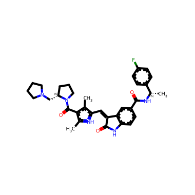 Cc1[nH]c(C=C2C(=O)Nc3ccc(C(=O)N[C@@H](C)c4ccc(F)cc4)cc32)c(C)c1C(=O)N1CCC[C@H]1CN1CCCC1